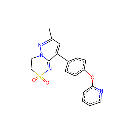 CC1=NN2CCS(=O)(=O)N=C2C(c2ccc(Oc3ccccn3)cc2)=C1